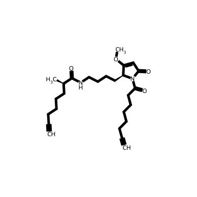 C#CCCCCCC(=O)N1C(=O)C=C(OC)[C@@H]1CCCCNC(=O)[C@H](C)CCCCC#C